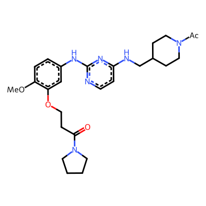 COc1ccc(Nc2nccc(NCC3CCN(C(C)=O)CC3)n2)cc1OCCC(=O)N1CCCC1